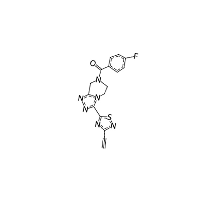 C#Cc1nsc(-c2nnc3n2CCN(C(=O)c2ccc(F)cc2)C3)n1